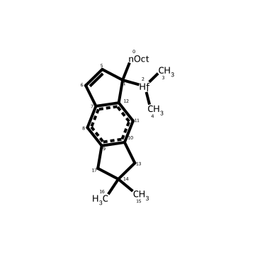 CCCCCCCC[C]1([Hf]([CH3])[CH3])C=Cc2cc3c(cc21)CC(C)(C)C3